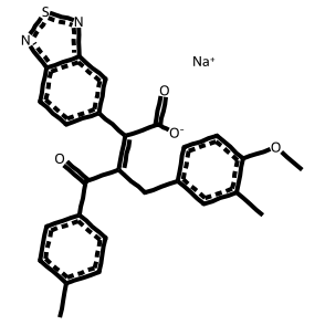 COc1ccc(CC(C(=O)c2ccc(C)cc2)=C(C(=O)[O-])c2ccc3nsnc3c2)cc1C.[Na+]